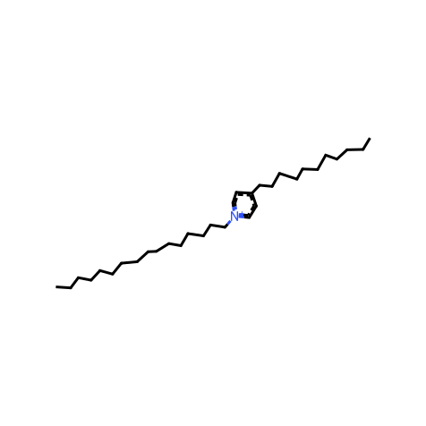 CCCCCCCCCCCCCCCC[n+]1ccc(CCCCCCCCCCC)cc1